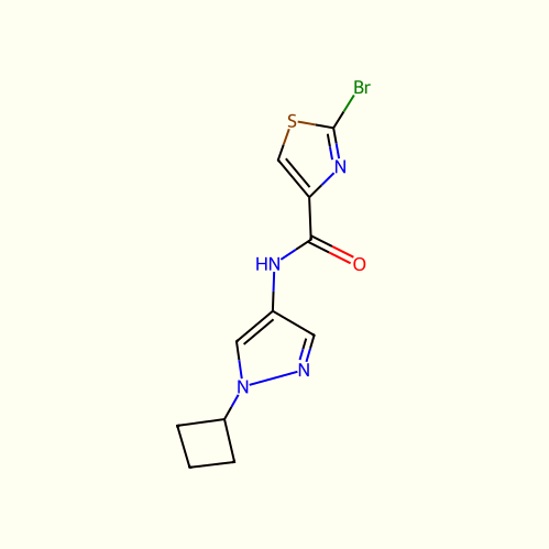 O=C(Nc1cnn(C2CCC2)c1)c1csc(Br)n1